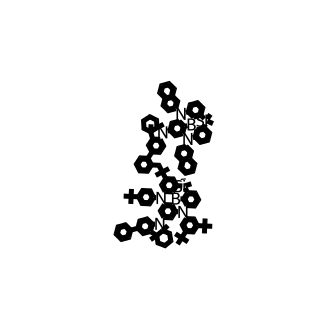 CC(C)(C)c1ccc(N2c3cc(N4c5ccc(-c6ccccc6)cc5C5(C)CCCCC45C)cc4c3B3c5c(cccc5[Si](C)(C)c5cc(C(C)(C)Cc6ccccc6-c6ccc7c(c6)C6(C)CCCCC6(C)N7c6cc7c8c(c6)N(c6ccc9ccccc9c6)c6cccc9c6B8c6c(cccc6[Si]9(C)C)N7c6ccc7ccccc7c6)cc2c53)N4c2cc(C(C)(C)C)cc(C(C)(C)C)c2)cc1